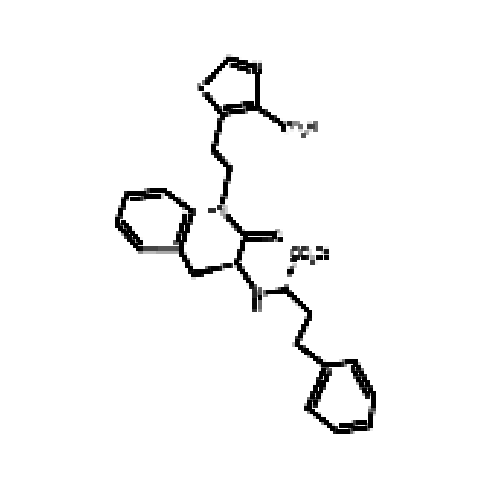 CCOC(=O)[C@H](CCc1ccccc1)N[C@@H](Cc1ccccc1)C(=O)NCCc1scnc1C(=O)O